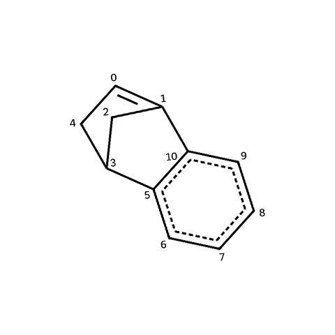 C1=C2CC(C1)c1ccccc12